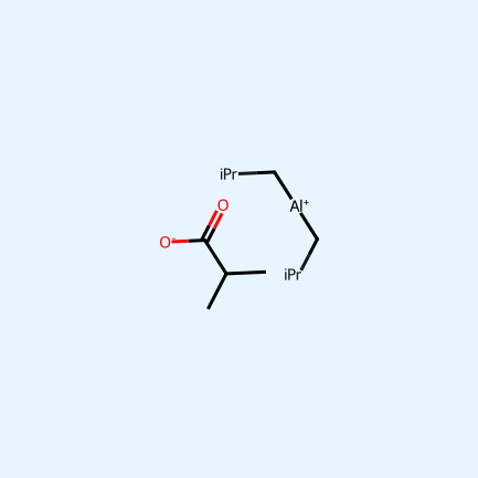 CC(C)C(=O)[O-].CC(C)[CH2][Al+][CH2]C(C)C